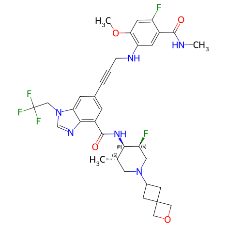 CNC(=O)c1cc(NCC#Cc2cc(C(=O)N[C@@H]3[C@@H](C)CN(C4CC5(COC5)C4)C[C@@H]3F)c3ncn(CC(F)(F)F)c3c2)c(OC)cc1F